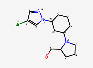 OCC1CCCN1C1CCCC(n2cc(Br)cn2)C1